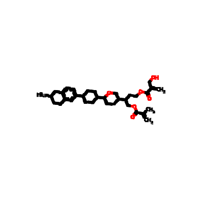 C=C(C)C(=O)OCC(CCOC(=O)C(=C)CO)C1CCC(C2CCC(c3ccc4c(c3)CCC(CCCC)C4)CC2)OC1